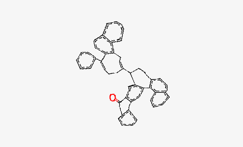 O=C1c2ccccc2-c2cc3c(cc21)C(/C1=C\Cc2c(ccc4ccccc24)/C(c2ccccc2)=C\CC1)CCc1ccc2ccccc2c1-3